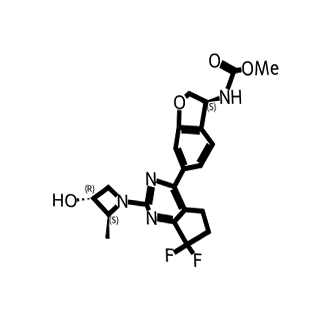 COC(=O)N[C@@H]1COc2cc(-c3nc(N4C[C@@H](O)[C@@H]4C)nc4c3CCC4(F)F)ccc21